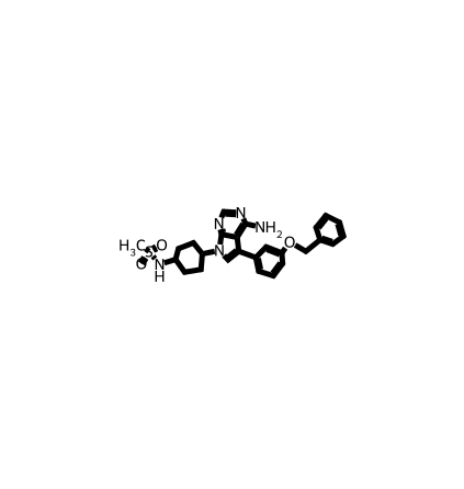 CS(=O)(=O)NC1CCC(n2cc(-c3cccc(OCc4ccccc4)c3)c3c(N)ncnc32)CC1